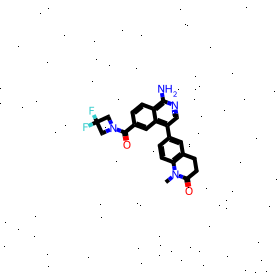 CN1C(=O)CCc2cc(-c3cnc(N)c4ccc(C(=O)N5CC(F)(F)C5)cc34)ccc21